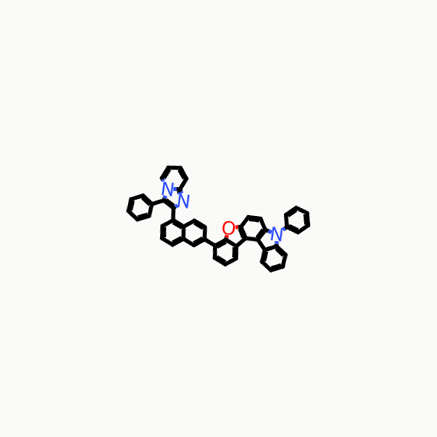 c1ccc(-c2c(-c3cccc4cc(-c5cccc6c5oc5ccc7c(c8ccccc8n7-c7ccccc7)c56)ccc34)nc3ccccn23)cc1